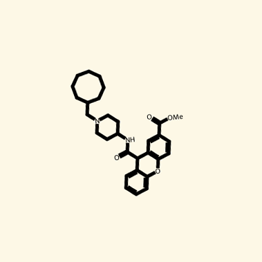 COC(=O)c1ccc2c(c1)C(C(=O)NC1CCN(CC3CCCCCCC3)CC1)c1ccccc1O2